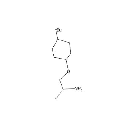 C[C@@H](N)COC1CCC(C(C)(C)C)CC1